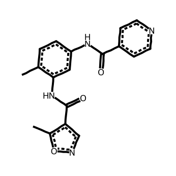 Cc1ccc(NC(=O)c2ccncc2)cc1NC(=O)c1cnoc1C